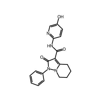 O=C(Nc1ccc(O)cn1)c1c2n(n(-c3ccccc3)c1=O)CCCC2